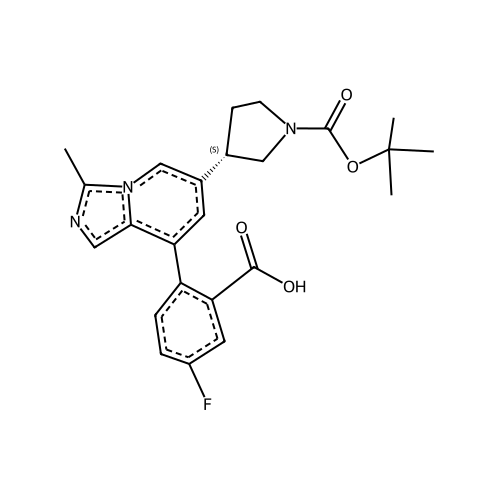 Cc1ncc2c(-c3ccc(F)cc3C(=O)O)cc([C@@H]3CCN(C(=O)OC(C)(C)C)C3)cn12